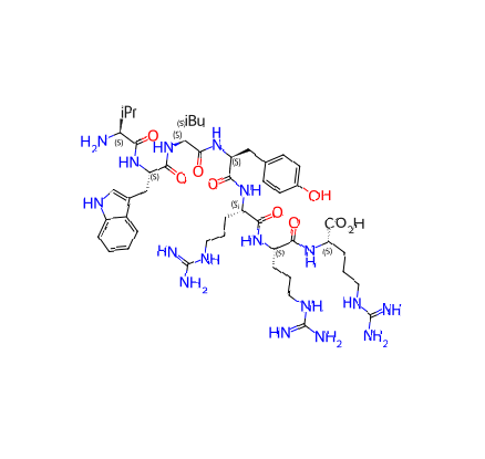 CC[C@H](C)[C@H](NC(=O)[C@H](Cc1c[nH]c2ccccc12)NC(=O)[C@@H](N)C(C)C)C(=O)N[C@@H](Cc1ccc(O)cc1)C(=O)N[C@@H](CCCNC(=N)N)C(=O)N[C@@H](CCCNC(=N)N)C(=O)N[C@@H](CCCNC(=N)N)C(=O)O